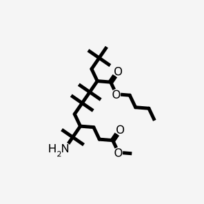 CCCCOC(=O)C(CC(C)(C)C)C(C)(C)C(C)(C)CC(CCC(=O)OC)C(C)(C)N